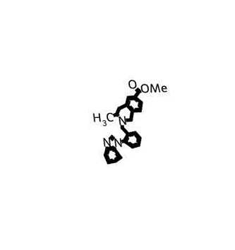 COC(=O)c1ccc2c(c1)CC(C)N(Cc1ccccc1-n1cnc3ccccc31)C2